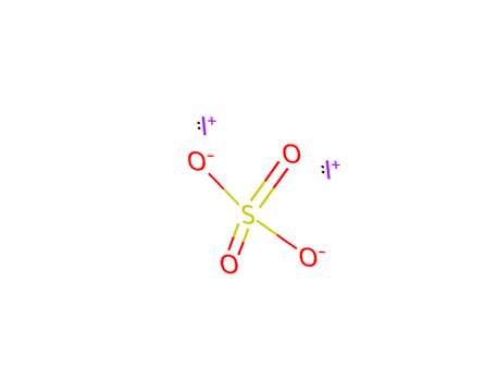 O=S(=O)([O-])[O-].[I+].[I+]